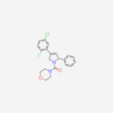 O=C(N1CCOCC1)N1CC(c2cc(Cl)ccc2F)=CC1c1ccccc1